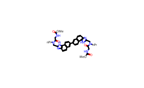 CCCN(Cc1nc2ccc3cc(-c4ccc5c(ccc6nc(CN(CCC)C(=O)CNC(=O)OC)[nH]c65)c4)ccc3c2[nH]1)C(=O)CNC(=O)OC